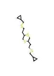 C(CC1CSC(CCSCC2CC2)CS1)SCC1CC1